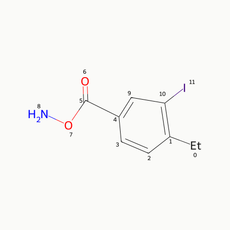 CCc1ccc(C(=O)ON)cc1I